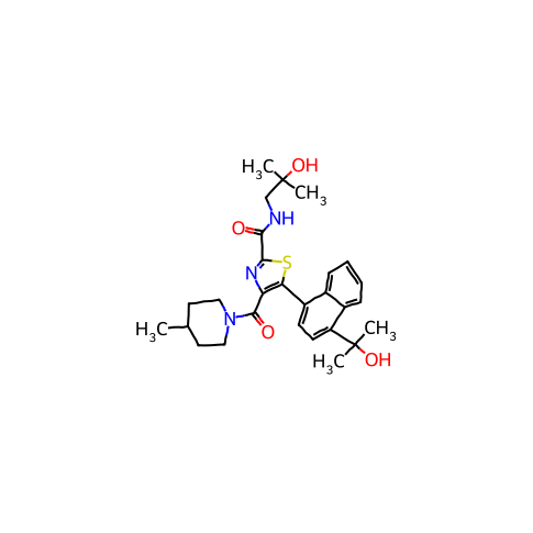 CC1CCN(C(=O)c2nc(C(=O)NCC(C)(C)O)sc2-c2ccc(C(C)(C)O)c3ccccc23)CC1